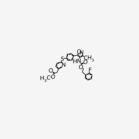 COC(=O)Cc1ccc(Sc2ccc(-c3onc(C)c3NC(=O)OCCc3ccccc3F)cc2)nc1